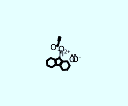 C#CC(=O)[O][Ti+2][CH]1C2=C(CCCC2)C2=C1CCCC2.C[O-].C[O-]